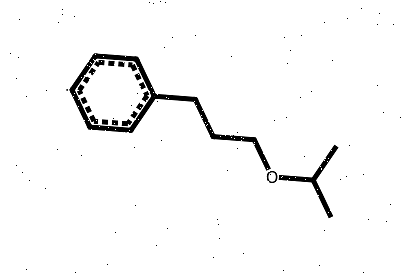 CC(C)OCCCc1cc[c]cc1